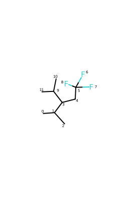 CC(C)C(CC(F)(F)F)C(C)C